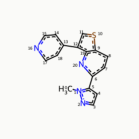 Cn1nccc1-c1ccc2scc(-c3ccncc3)c2n1